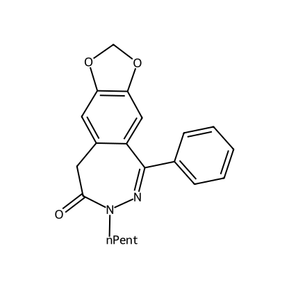 CCCCCN1N=C(c2ccccc2)c2cc3c(cc2CC1=O)OCO3